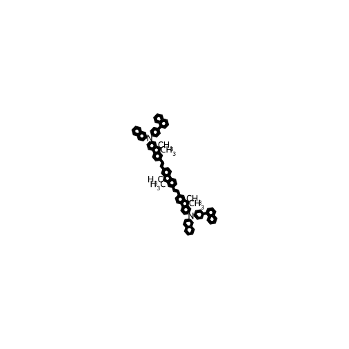 CC1(C)c2cc(/C=C/c3ccc4c(c3)C(C)(C)c3cc(N(C5=CCC(c6cccc7ccccc67)C=C5)C5=CC=C6C=CC=CC6C5)ccc3-4)ccc2-c2ccc(/C=C/c3ccc4c(c3)C(C)(C)c3cc(N(c5ccc(-c6cccc7ccccc67)cc5)c5ccc6ccccc6c5)ccc3-4)cc21